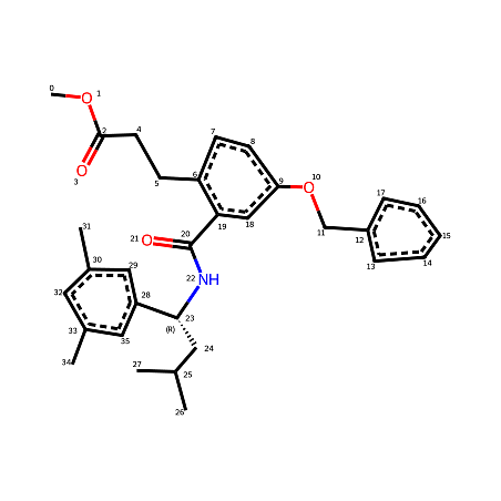 COC(=O)CCc1ccc(OCc2ccccc2)cc1C(=O)N[C@H](CC(C)C)c1cc(C)cc(C)c1